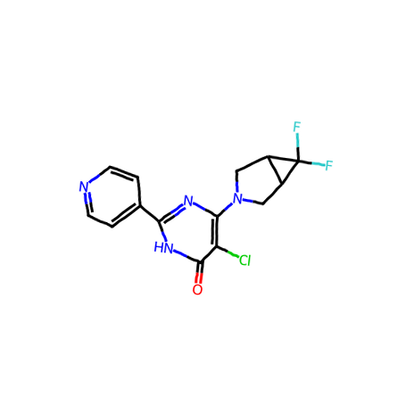 O=c1[nH]c(-c2ccncc2)nc(N2CC3C(C2)C3(F)F)c1Cl